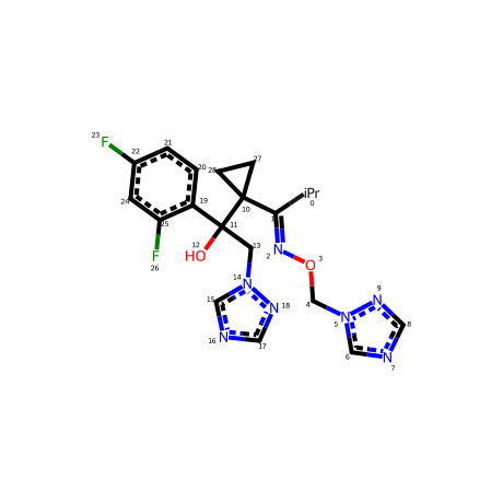 CC(C)C(=NOCn1cncn1)C1(C(O)(Cn2cncn2)c2ccc(F)cc2F)CC1